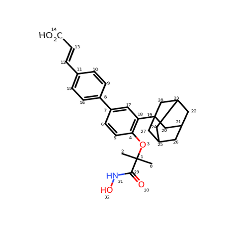 CC(C)(Oc1ccc(-c2ccc(C=CC(=O)O)cc2)cc1C12CC3CC(CC(C3)C1)C2)C(=O)NO